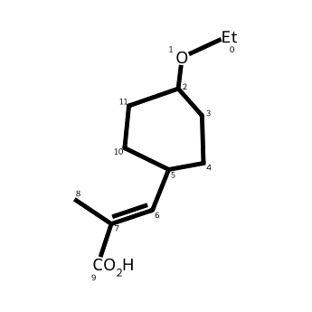 CCOC1CCC(C=C(C)C(=O)O)CC1